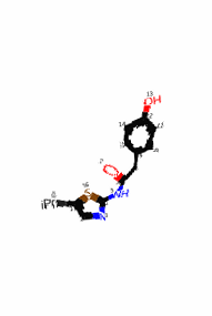 CC(C)c1cnc(NC(=O)Cc2ccc(O)cc2)s1